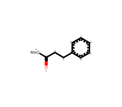 COC(=O)C[CH]c1ccccc1